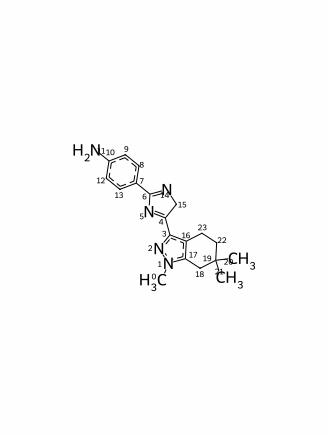 Cn1nc(C2=NC(c3ccc(N)cc3)=NC2)c2c1CC(C)(C)CC2